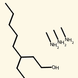 CCCCCC(CC)CCO.CN.CN.CN